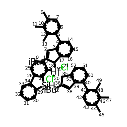 CCC(C)C1=Cc2c(-c3ccc(C)c(C)c3C)cccc2[CH]1[Hf]([Cl])([Cl])([c]1cccc2c1[SiH2]c1ccccc1-2)[CH]1C(C(C)CC)=Cc2c(-c3ccc(C)c(C)c3C)cccc21